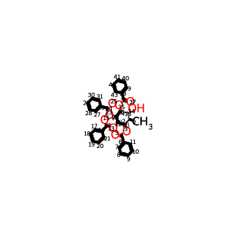 CC[C@@H](OC(=O)c1ccccc1)[C@@H](OC(=O)c1ccccc1)[C@H](OC(=O)c1ccccc1)[C@@H](CO)OC(=O)c1ccccc1